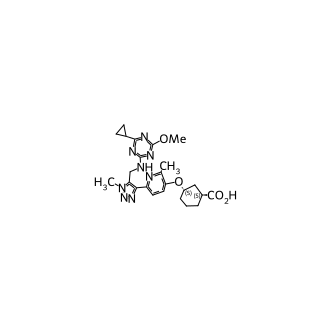 COc1nc(NCc2c(-c3ccc(O[C@H]4CCC[C@H](C(=O)O)C4)c(C)n3)nnn2C)nc(C2CC2)n1